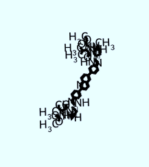 COC(=O)N[C@H](C(=O)N1[C@@H]2[C@H](C)[C@@H]2C[C@H]1c1nc2ccc(-c3ccc4nc(-c5ccc6nc([C@@H]7C[C@H]8C[C@H]8N7C(=O)[C@@H](NC(=O)OC)C(C)C)[nH]c6c5)ccc4c3)cc2[nH]1)C(C)C